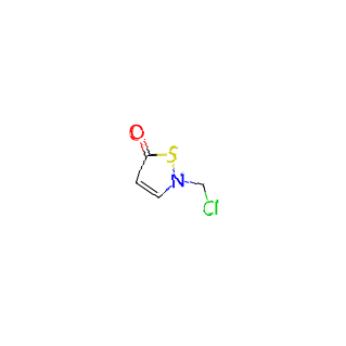 O=c1ccn(CCl)s1